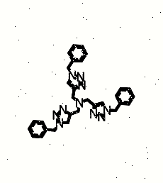 c1ccc(CN2CC(CN(Cc3cn(Cc4ccccc4)nn3)Cc3cn(Cc4ccccc4)nn3)N=N2)cc1